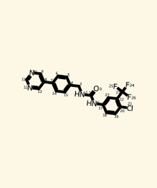 O=C(NCc1ccc(-c2cncnc2)cc1)Nc1ccc(Cl)c(C(F)(F)F)c1